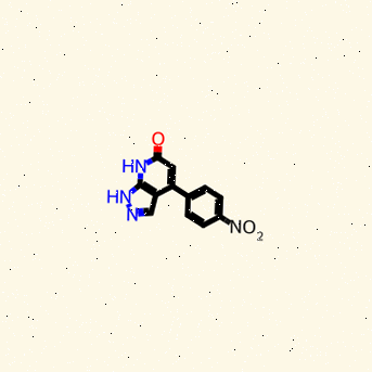 O=c1cc(-c2ccc([N+](=O)[O-])cc2)c2cn[nH]c2[nH]1